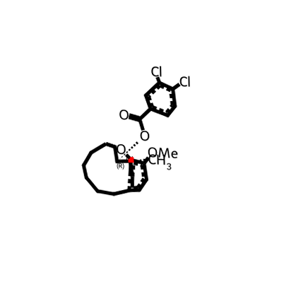 COc1ccc2c3c1OC(CCCCC2)C[C@@H](OC(=O)c1ccc(Cl)c(Cl)c1)[C@@H]3C